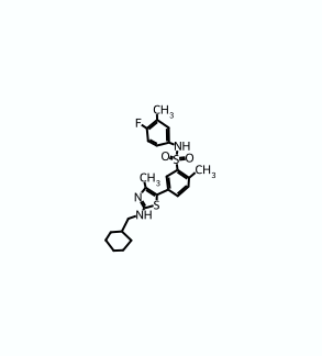 Cc1cc(NS(=O)(=O)c2cc(-c3sc(NCC4CCCCC4)nc3C)ccc2C)ccc1F